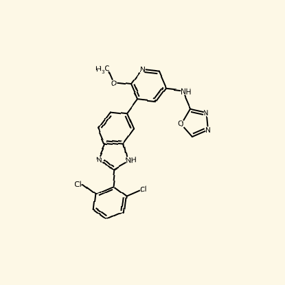 COc1ncc(Nc2nnco2)cc1-c1ccc2nc(-c3c(Cl)cccc3Cl)[nH]c2c1